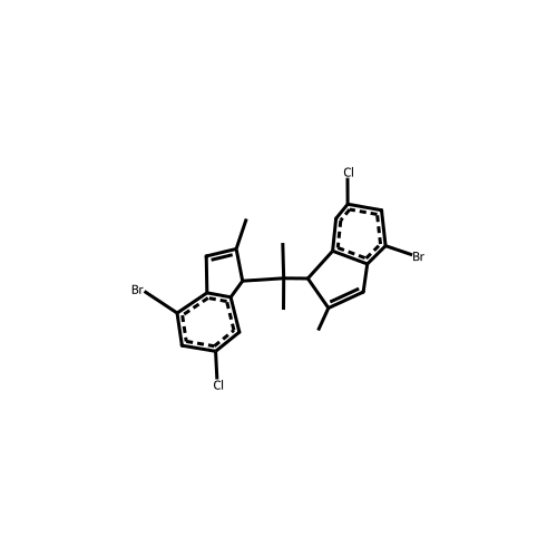 CC1=Cc2c(Br)cc(Cl)cc2C1C(C)(C)C1C(C)=Cc2c(Br)cc(Cl)cc21